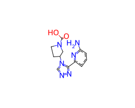 Nc1cccc(-c2nncn2C2CCN(C(=O)O)C2)n1